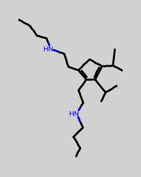 CCCCNCCC1=C(CCNCCCC)C(C(C)C)=C(C(C)C)C1